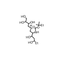 CCC(O)CC(O)C(CNCC(O)C(O)CO)NC(=O)OC(C)(C)CC